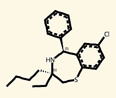 CCCC[C@@]1(CC)CSc2ccc(Cl)cc2[C@H](c2ccccc2)N1